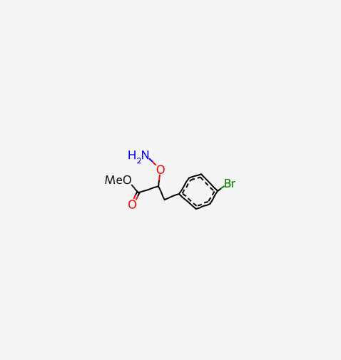 COC(=O)C(Cc1ccc(Br)cc1)ON